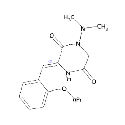 CCCOc1ccccc1/C=C1\NC(=O)CN(N(C)C)C1=O